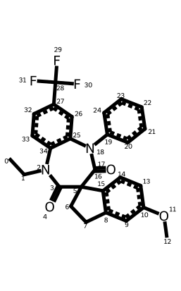 CCN1C(=O)C2(CCc3cc(OC)ccc32)C(=O)N(c2ccccc2)c2cc(C(F)(F)F)ccc21